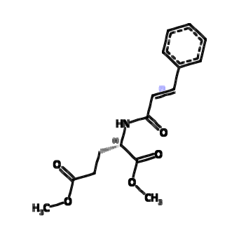 COC(=O)CC[C@H](NC(=O)/C=C/c1ccccc1)C(=O)OC